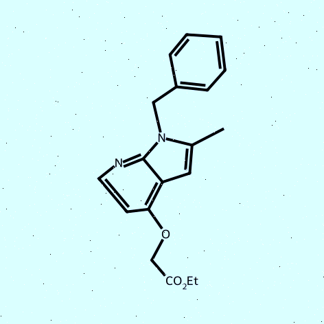 CCOC(=O)COc1ccnc2c1cc(C)n2Cc1ccccc1